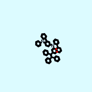 c1ccc(C(=C(c2ccccc2)c2cccc(N(c3ccc4c(c3)c3ccccc3n4-c3ccccc3)c3ccccc3-c3ccccc3)c2)c2ccccc2)cc1